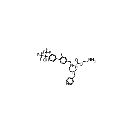 Cc1cc(CN2CCN(Cc3ccncc3)C[C@H]2C(=O)OCCN)ccc1-c1ccc(C(O)(C(F)(F)F)C(F)(F)F)cc1